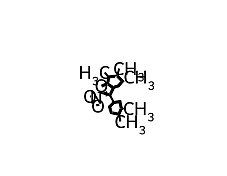 Cc1ccc(-c2c([N+](=O)[O-])oc3c(C)c(C)c(C)cc23)cc1C